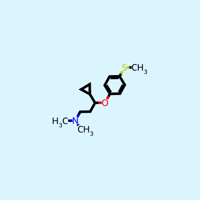 CSc1ccc(OC(CCN(C)C)C2CC2)cc1